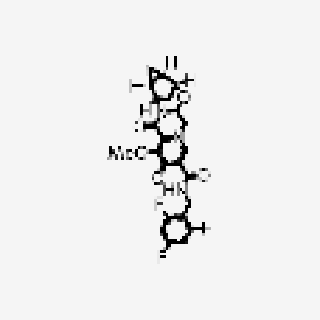 COc1c2n(cc(C(=O)NCc3c(F)cc(F)cc3F)c1=O)CC1O[C@@H]3C[C@@H]([C@H]4C[C@H]43)N1C2=O